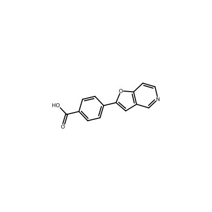 O=C(O)c1ccc(-c2cc3cnccc3o2)cc1